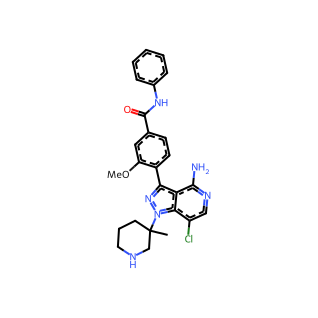 COc1cc(C(=O)Nc2ccccc2)ccc1-c1nn(C2(C)CCCNC2)c2c(Cl)cnc(N)c12